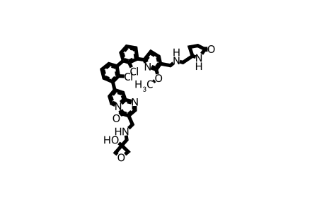 COc1nc(-c2cccc(-c3cccc(-c4ccn5c(=O)c(CNCC6(O)COC6)cnc5c4)c3Cl)c2Cl)ccc1CNCC1CCC(=O)N1